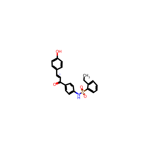 CCc1ccccc1S(=O)(=O)Nc1ccc(C(=O)/C=C/c2ccc(O)cc2)cc1